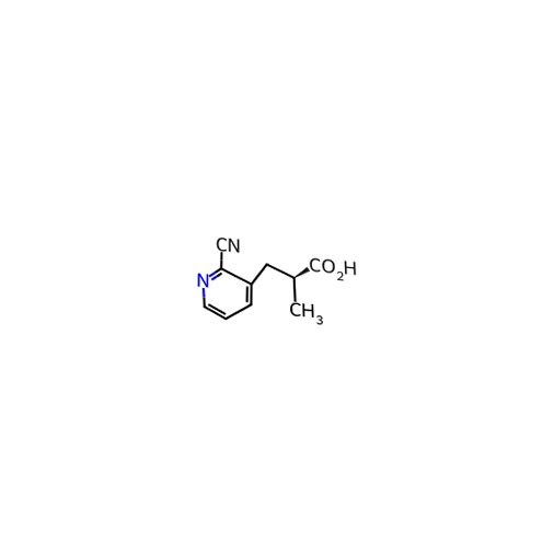 C[C@@H](Cc1cccnc1C#N)C(=O)O